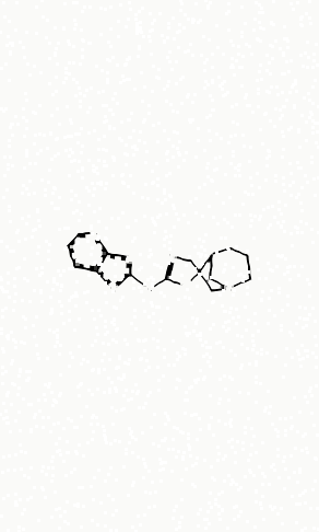 c1cnc2sc(NC3=NCC4(CN5CCCC4C5)O3)nc2c1